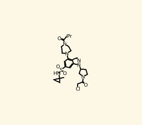 CC(C)C(=O)N1CCN(c2cc(S(=O)(=O)NC3(C)CC3)cc3c2cnn3C2CCN(C(=O)CCl)C2)CC1